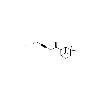 [CH2]CCCCCCCCCCC#CCC(=C)[C]1C2CCC(C)(C)C1C2C